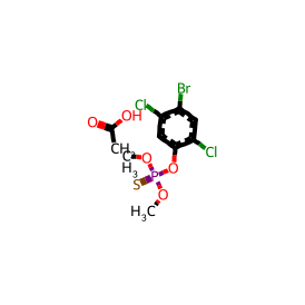 CC(=O)O.COP(=S)(OC)Oc1cc(Cl)c(Br)cc1Cl